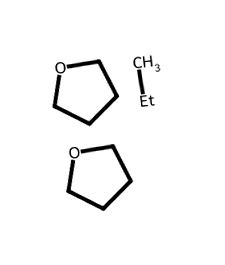 C1CCOC1.C1CCOC1.CCC